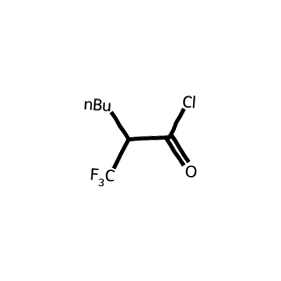 CCCCC(C(=O)Cl)C(F)(F)F